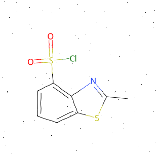 Cc1nc2c(S(=O)(=O)Cl)cccc2s1